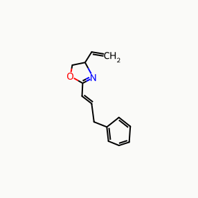 C=CC1COC(C=CCc2ccccc2)=N1